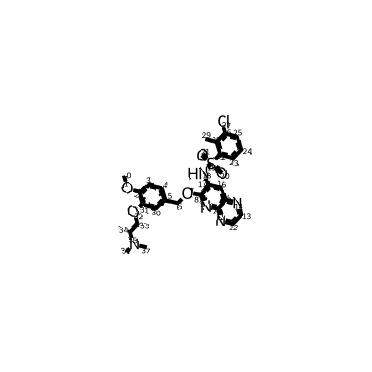 COc1ccc(COc2nc3nccnc3cc2NS(=O)(=O)c2cccc(Cl)c2C)cc1OCCN(C)C